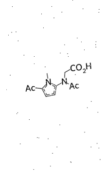 CC(=O)c1ccc(N(CC(=O)O)C(C)=O)n1C